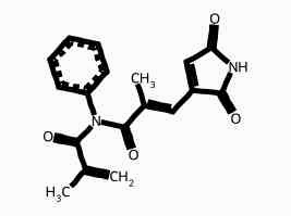 C=C(C)C(=O)N(C(=O)C(C)=CC1=CC(=O)NC1=O)c1ccccc1